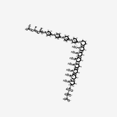 CCCC[n+]1ccccc1.CCCC[n+]1ccccc1.CCCC[n+]1ccccc1.CCCC[n+]1ccccc1.CCCC[n+]1ccccc1.CCCC[n+]1ccccc1.CCCC[n+]1ccccc1.CCCC[n+]1ccccc1.CCCC[n+]1ccccc1.CCCC[n+]1ccccc1.CCCC[n+]1ccccc1.CCCC[n+]1ccccc1.[O-]B([O-])F.[O-]B([O-])F.[O-]B([O-])F.[O-]B([O-])F.[O-]B([O-])F.[O-]B([O-])F